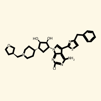 Nc1nc(Cl)nc2c1c(-c1nc(Cc3ccccc3)cs1)cn2[C@@H]1C[C@H](C2CCN(C[C@H]3CCOC3)CC2)[C@@H](O)[C@H]1O